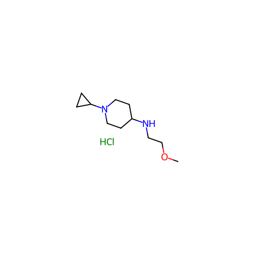 COCCNC1CCN(C2CC2)CC1.Cl